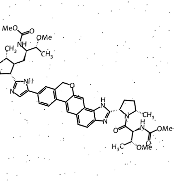 COC(=O)N[C@H](C(=O)N1[C@@H](C)CC[C@H]1c1nc2ccc3cc4c(cc3c2[nH]1)OCc1cc(-c2cnc([C@@H]3CC[C@H](C)C3C[C@@H](NC(=O)OC)[C@@H](C)OC)[nH]2)ccc1-4)[C@@H](C)OC